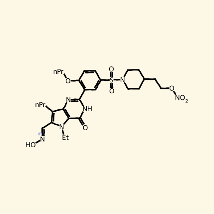 CCCOc1ccc(S(=O)(=O)N2CCC(CCO[N+](=O)[O-])CC2)cc1-c1nc2c(CCC)c(/C=N/O)n(CC)c2c(=O)[nH]1